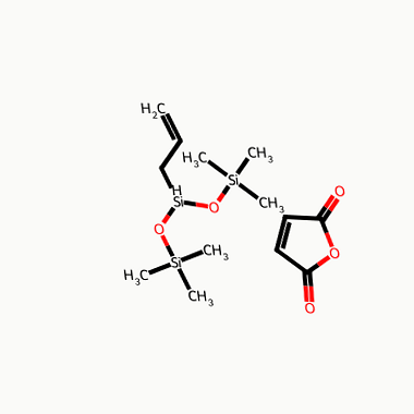 C=CC[SiH](O[Si](C)(C)C)O[Si](C)(C)C.O=C1C=CC(=O)O1